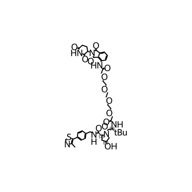 Cc1ncsc1-c1ccc(CNC(=O)[C@@H]2C[C@@H](O)CN2C(=O)[C@@H](NC(=O)COCCOCCOCCOCC(=O)Nc2cccc3c2C(=O)N(C2CCC(=O)NC2=O)C3=O)C(C)(C)C)cc1